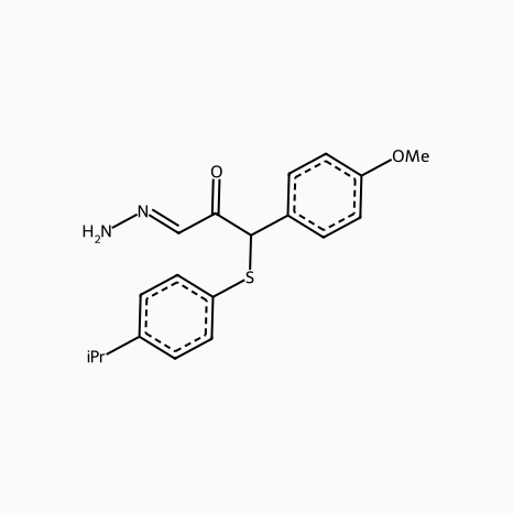 COc1ccc(C(Sc2ccc(C(C)C)cc2)C(=O)C=NN)cc1